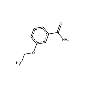 CCOc1cccc(C(N)=O)c1